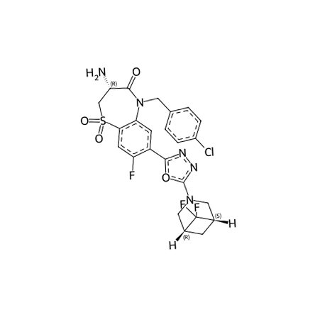 N[C@H]1CS(=O)(=O)c2cc(F)c(-c3nnc(N4C[C@H]5C[C@@H](C4)C5(F)F)o3)cc2N(Cc2ccc(Cl)cc2)C1=O